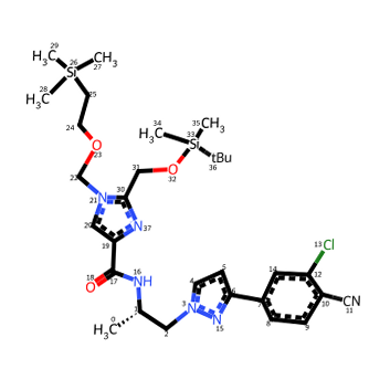 C[C@@H](Cn1ccc(-c2ccc(C#N)c(Cl)c2)n1)NC(=O)c1cn(COCC[Si](C)(C)C)c(CO[Si](C)(C)C(C)(C)C)n1